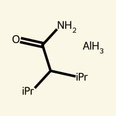 CC(C)C(C(N)=O)C(C)C.[AlH3]